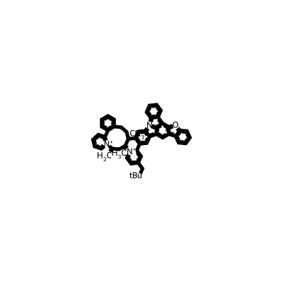 C=C1CC2(C)[n+]3ccc(CC(C)(C)C)cc3-c3cc4c5cc6c7ccccc7oc6c6c7ccccc7n(c4cc3C2(C)CCc2ccccc2-c2cccc[n+]21)c56